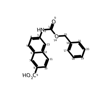 O=C(Nc1ccc2cc(C(=O)O)ccc2c1)OCc1ccccc1